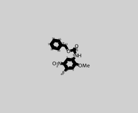 COc1cc(F)c([N+](=O)[O-])cc1NC(=O)OCc1ccccc1